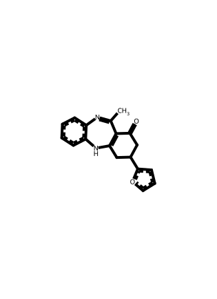 CC1=Nc2ccccc2NC2=C1C(=O)CC(c1ccco1)C2